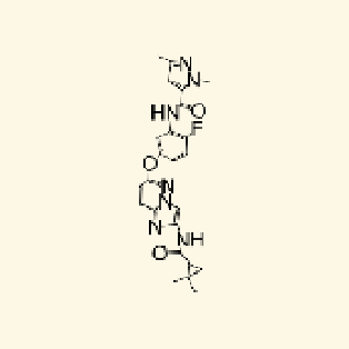 Cc1cc(C(=O)Nc2cc(Oc3ccc4nc(NC(=O)C5CC5(C)C)cn4n3)ccc2F)n(C)n1